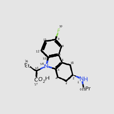 CCCN[C@H]1CCc2c(c3cc(F)ccc3n2C(CC)C(=O)O)C1